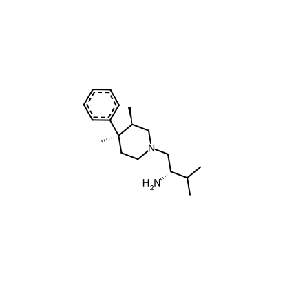 CC(C)[C@H](N)CN1CC[C@@](C)(c2ccccc2)[C@@H](C)C1